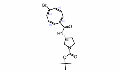 CC(C)(C)OC(=O)N1CC[C@@H](NC(=O)C2=C/C=C\C(Br)=C/C=C\2)C1